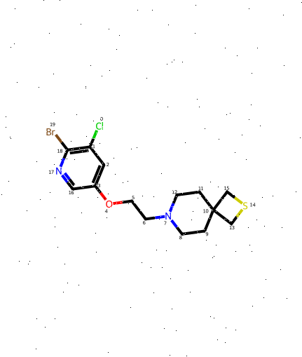 Clc1cc(OCCN2CCC3(CC2)CSC3)cnc1Br